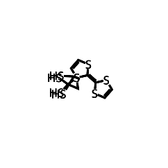 SC1(S)CS123(C=CSC2=C1SC=CS1)CC3(S)S